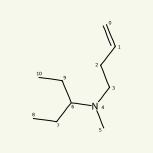 C=CCCN(C)C(CC)CC